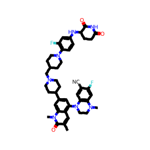 Cc1cc2c(N3CCN(C)c4cc(F)c(C#N)cc43)cc(C3CCN(CC4CCN(c5ccc(NC6CCC(=O)NC6=O)cc5F)CC4)CC3)cc2n(C)c1=O